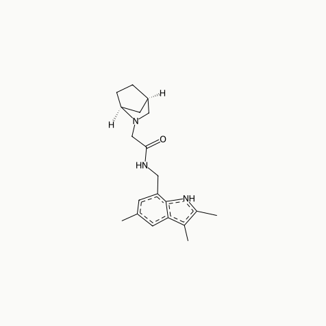 Cc1cc(CNC(=O)CN2C[C@@H]3CC[C@H]2C3)c2[nH]c(C)c(C)c2c1